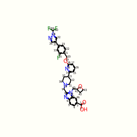 O=C(O)c1ccc2nc(CN3CCC(c4cccc(OCc5ccc(-c6cnn(C(F)F)c6)cc5F)n4)CC3)n(CC3CCO3)c2c1